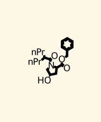 CCCC(CCC)C(=O)N1C[C@H](O)CC1C(=O)OCc1ccccc1